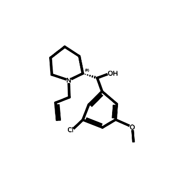 C=CCN1CCCC[C@@H]1C(O)c1cc(Cl)cc(OC)c1